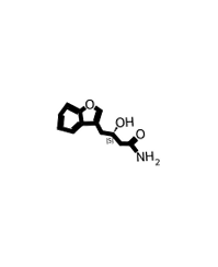 NC(=O)C[C@@H](O)Cc1coc2ccccc12